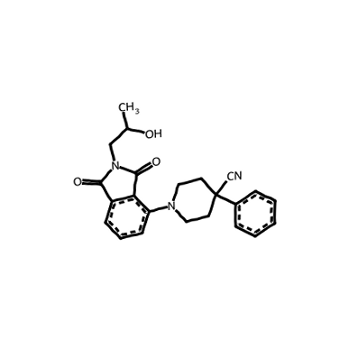 CC(O)CN1C(=O)c2cccc(N3CCC(C#N)(c4ccccc4)CC3)c2C1=O